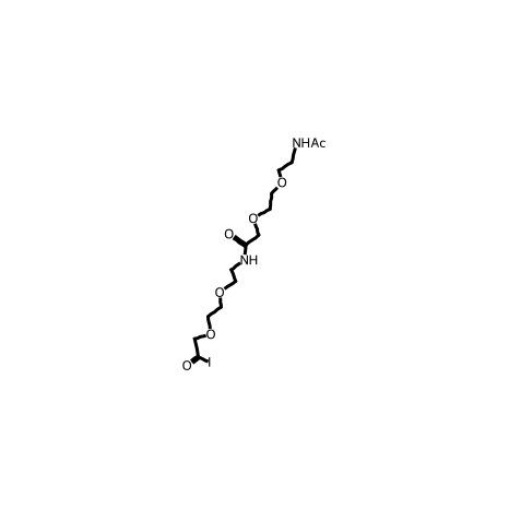 CC(=O)NCCOCCOCC(=O)NCCOCCOCC(=O)I